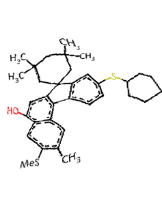 CSc1cc2c(O)cc3c(c2cc1C)-c1ccc(SC2CCCCC2)cc1C31CC(C)(C)CC(C)(C)C1